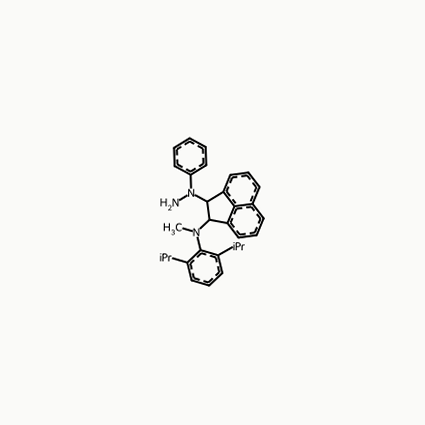 CC(C)c1cccc(C(C)C)c1N(C)C1c2cccc3cccc(c23)C1N(N)c1ccccc1